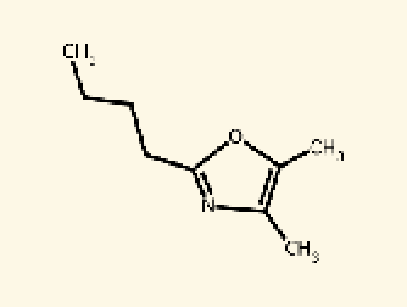 CCCCc1nc(C)c(C)o1